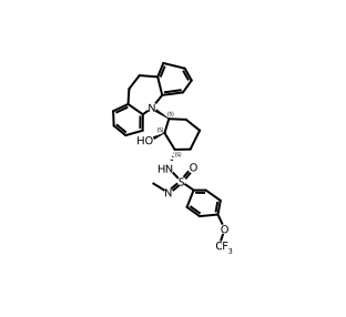 CN=S(=O)(N[C@H]1CCC[C@H](N2c3ccccc3CCc3ccccc32)[C@@H]1O)c1ccc(OC(F)(F)F)cc1